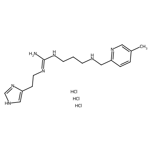 Cc1ccc(CNCCCNC(N)=NCCc2c[nH]cn2)nc1.Cl.Cl.Cl